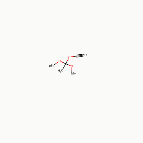 C#COC(C)(OCCCC)OCCCC